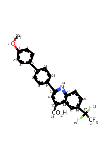 CC(C)Oc1ccc(-c2ccc(-c3cc(C(=O)O)c4cc(C(F)(F)C(F)(F)F)ccc4n3)cc2)cc1